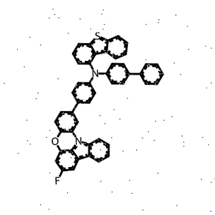 Fc1cc2c3c(c1)c1ccccc1n3-c1cc(-c3ccc(N(c4ccc(-c5ccccc5)cc4)c4cccc5sc6ccccc6c45)cc3)ccc1O2